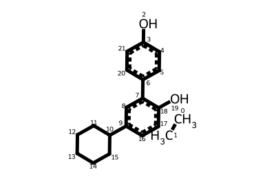 CC.Oc1ccc(-c2cc(C3CCCCC3)ccc2O)cc1